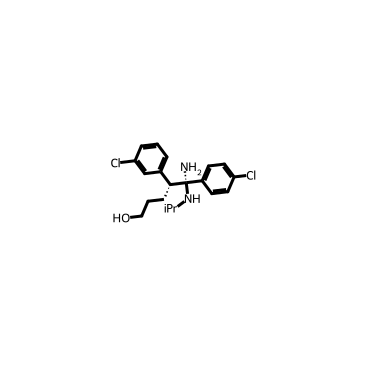 CC(C)N[C@](N)(c1ccc(Cl)cc1)[C@H](CCCO)c1cccc(Cl)c1